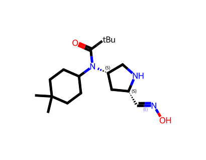 CC1(C)CCC(N(C(=O)C(C)(C)C)[C@@H]2CN[C@H](/C=N/O)C2)CC1